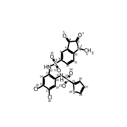 CN1C(=O)C(=O)c2cc(S(=O)(=O)Nc3cc(Cl)c(Cl)cc3NS(=O)(=O)c3cccs3)ccc21